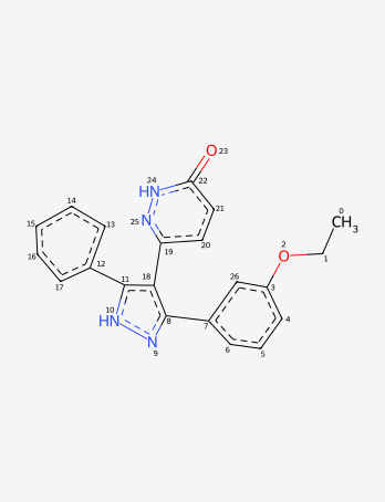 CCOc1cccc(-c2n[nH]c(-c3ccccc3)c2-c2ccc(=O)[nH]n2)c1